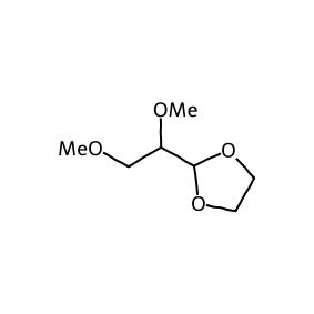 COCC(OC)C1OCCO1